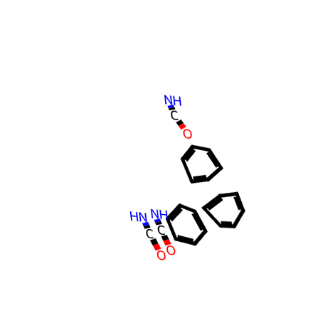 N=C=O.N=C=O.N=C=O.c1ccccc1.c1ccccc1.c1ccccc1